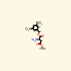 CC(C)(C)OC(=O)C[C@H](N)C(=O)OCc1cc([N+](=O)[O-])cc([N+](=O)[O-])c1